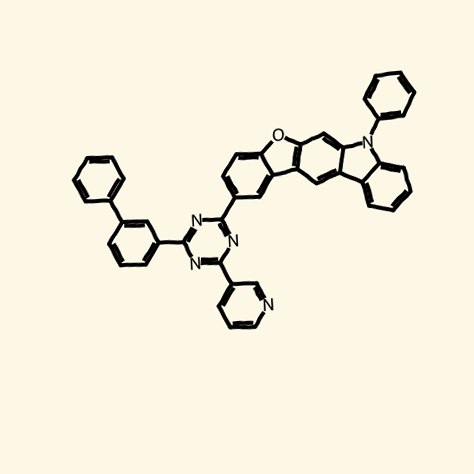 c1ccc(-c2cccc(-c3nc(-c4cccnc4)nc(-c4ccc5oc6cc7c(cc6c5c4)c4ccccc4n7-c4ccccc4)n3)c2)cc1